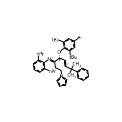 CCCc1cccc(CCC)c1/N=C(\CCn1cccc1)[C@@H](/C=C/C(C)(C)c1ccccc1)Oc1c(C(C)(C)C)cc(Br)cc1C(C)(C)C